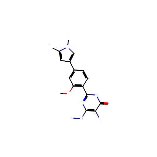 CCOc1cc(-c2cc(C(=O)O)n(C)c2)ccc1-c1nc(NN)c(N)c(=O)[nH]1